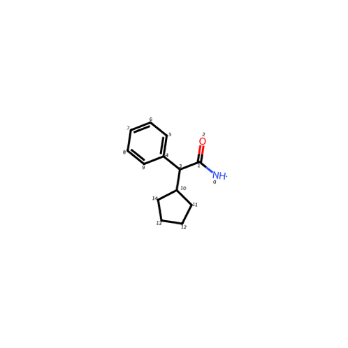 [NH]C(=O)C(c1ccccc1)C1CCCC1